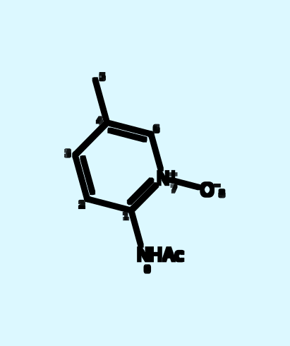 CC(=O)Nc1ccc(C)c[n+]1[O-]